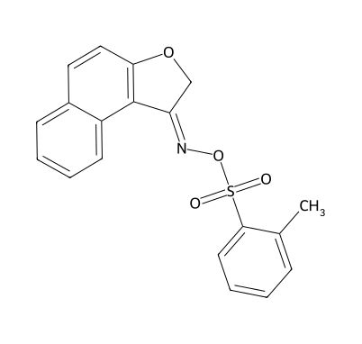 Cc1ccccc1S(=O)(=O)O/N=C1\COc2ccc3ccccc3c21